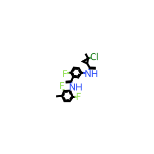 C=C(Nc1c(F)ccc(C)c1F)c1cc(NC(=C)C2CC2(C)Cl)ccc1F